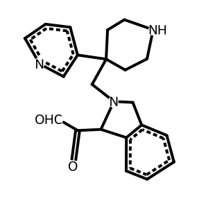 O=CC(=O)C1c2ccccc2CN1CC1(c2cccnc2)CCNCC1